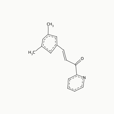 Cc1cc(C)cc(/C=C/C(=O)c2ccccn2)c1